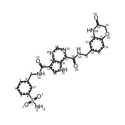 NS(=O)(=O)c1cccc(CNC(=O)c2c[nH]c3c(C(=O)NCc4ccc5c(c4)NC(=O)CO5)ncnc23)c1